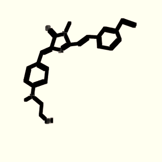 C=Cc1cccc(/C=C/C2=NC(=C\c3ccc(N(C)CCO)cc3)/C(=O)N2C)c1